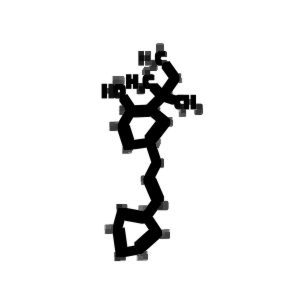 CCC(C)(C)c1cc(CC=Cc2ccccc2)ccc1O